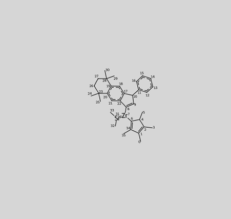 CC1=C(C)C(C)[C]([Zr]([C]2=CC(c3ccccc3)c3cc4c(cc32)C(C)(C)CCC4(C)C)=[Si](C)C)=C1C